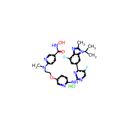 Cc1nc2c(F)cc(-c3nc(Nc4ccc(OCCN(C)c5ccc(C(=O)NO)cn5)cn4)ncc3F)cc2n1C(C)C.Cl